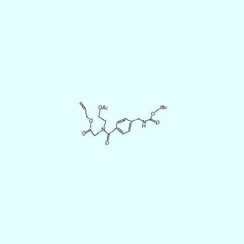 C=CCOC(=O)CN(CCOC(C)=O)C(=O)c1ccc(CNC(=O)OC(C)(C)C)cc1